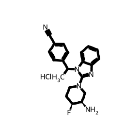 CC(c1ccc(C#N)cc1)n1c(N2CC[C@H](F)[C@H](N)C2)nc2ccccc21.Cl